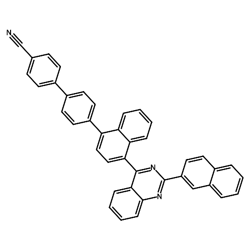 N#Cc1ccc(-c2ccc(-c3ccc(-c4nc(-c5ccc6ccccc6c5)nc5ccccc45)c4ccccc34)cc2)cc1